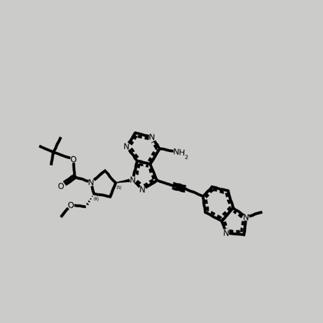 COC[C@H]1C[C@H](n2nc(C#Cc3ccc4c(c3)ncn4C)c3c(N)ncnc32)CN1C(=O)OC(C)(C)C